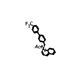 CC(=O)N(Cc1ccc(-c2ccc(C(F)(F)F)cc2)cc1)N1C=CC=C2C=CC=CC21